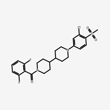 CS(=O)(=O)c1ccc(N2CCC(C3CCN(C(=O)c4c(F)cccc4F)CC3)CC2)cc1Cl